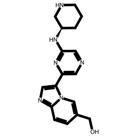 OCc1ccc2ncc(-c3cncc(N[C@@H]4CCCNC4)n3)n2c1